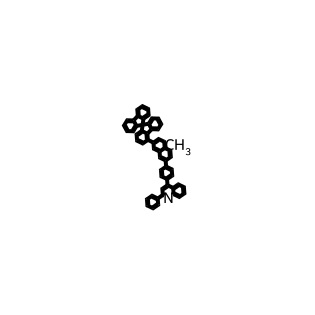 CC12C=CC(c3ccc(-c4cc(-c5ccccc5)nc5ccccc45)cc3)=CC1=CC(c1cccc3c1-c1ccccc1C31c3ccccc3-c3ccccc31)=CC2